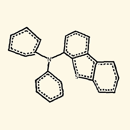 c1ccc(N(c2ccccc2)c2cccc3c2sc2ccccc23)cc1